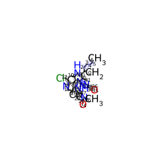 C=C(/C=C\C=C/C)[C@H](Nc1cc(Cl)c2ncc(C#N)c(Nc3ccc(=O)n(C)c3)c2c1)c1cn(C2COC2)nn1